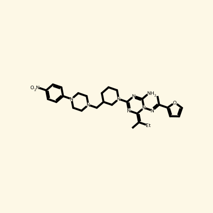 CC/C(C)=C1/N=C(N2CCCC(CN3CCN(c4ccc([N+](=O)[O-])cc4)CC3)C2)N=C(N)N1/N=C(\C)c1ccco1